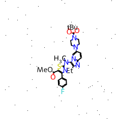 CCc1nc2ccc(N3CCN(C(=O)OC(C)(C)C)CC3)cn2c1N(C)c1nc(-c2ccc(F)cc2)c(C(=O)OC)s1